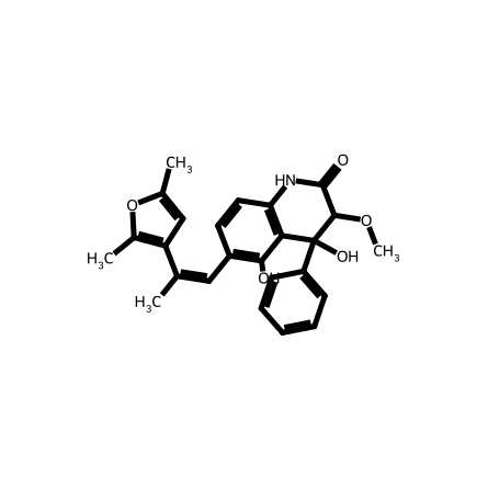 COC1C(=O)Nc2ccc(C=C(C)c3cc(C)oc3C)c(O)c2C1(O)c1ccccc1